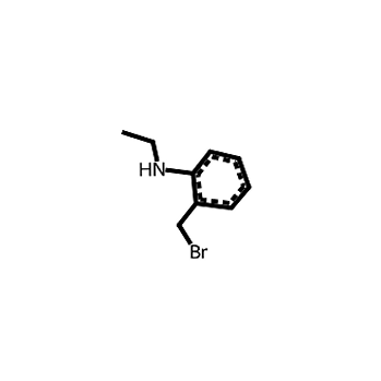 CCNc1ccccc1CBr